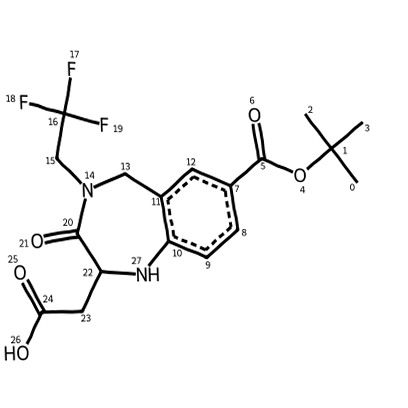 CC(C)(C)OC(=O)c1ccc2c(c1)CN(CC(F)(F)F)C(=O)C(CC(=O)O)N2